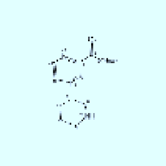 COC(=O)c1cc(C2CCCNC2)ccn1